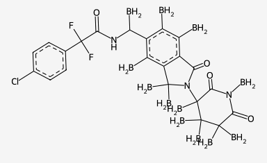 Bc1c(B)c(C(B)NC(=O)C(F)(F)c2ccc(Cl)cc2)c(B)c2c1C(=O)N(C1(B)C(=O)N(B)C(=O)C(B)(B)C1(B)B)C2(B)B